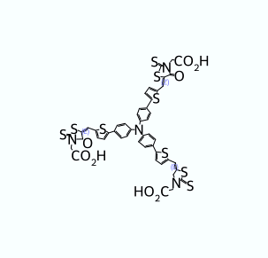 O=C(O)CN1C/C(=C\c2ccc(-c3ccc(N(c4ccc(-c5ccc(/C=C6\SC(=S)N(CC(=O)O)C6=O)s5)cc4)c4ccc(-c5ccc(/C=C6/SC(=S)N(CC(=O)O)C6=O)s5)cc4)cc3)s2)SC1=S